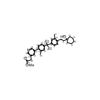 CCC(CC)(c1ccc(CCC2(O)CCCCC2)c(C)c1)c1ccc(-c2cncc(CC(=O)OC)c2)c(C)c1